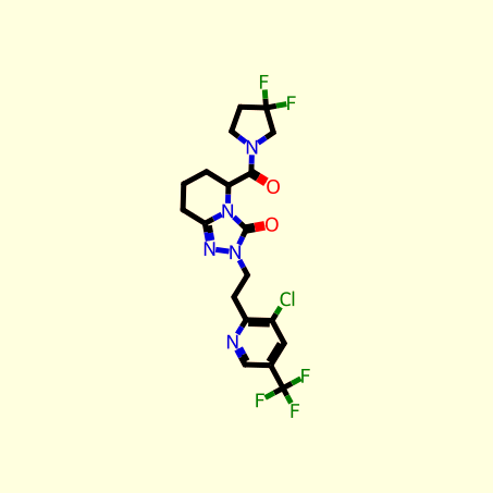 O=C(C1CCCc2nn(CCc3ncc(C(F)(F)F)cc3Cl)c(=O)n21)N1CCC(F)(F)C1